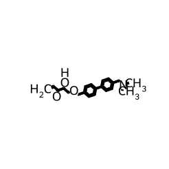 C=CC(=O)C(O)COCc1ccc(-c2ccc(CN(C)C)cc2)cc1